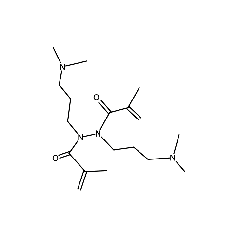 C=C(C)C(=O)N(CCCN(C)C)N(CCCN(C)C)C(=O)C(=C)C